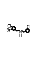 Clc1cccc(CCNCCc2ccc(Cl)c(Br)c2)c1